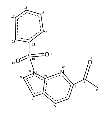 CC(=O)c1ccc2ccn(S(=O)(=O)c3ccccc3)c2n1